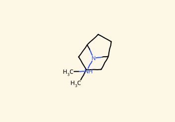 CNN1C2CCC1CC(C)C2